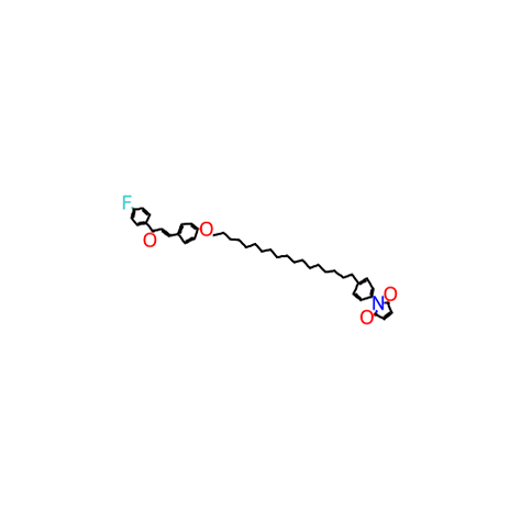 O=C(C=Cc1ccc(OCCCCCCCCCCCCCCCCCCc2ccc(N3C(=O)C=CC3=O)cc2)cc1)c1ccc(F)cc1